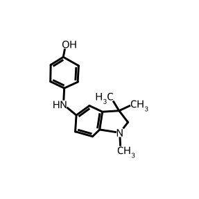 CN1CC(C)(C)c2cc(Nc3ccc(O)cc3)ccc21